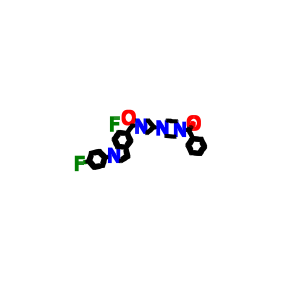 O=C(c1ccccc1)N1CCN(C2CN(C(=O)c3cc4ccn(-c5ccc(F)cc5)c4cc3F)C2)CC1